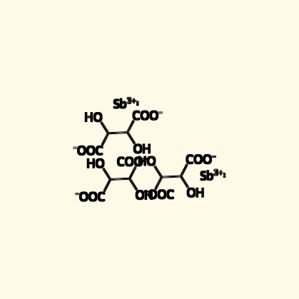 O=C([O-])C(O)C(O)C(=O)[O-].O=C([O-])C(O)C(O)C(=O)[O-].O=C([O-])C(O)C(O)C(=O)[O-].[Sb+3].[Sb+3]